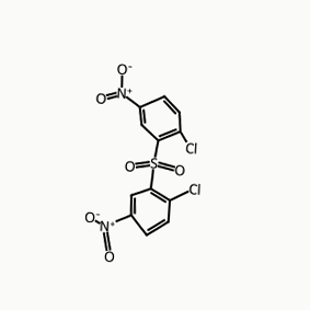 O=[N+]([O-])c1ccc(Cl)c(S(=O)(=O)c2cc([N+](=O)[O-])ccc2Cl)c1